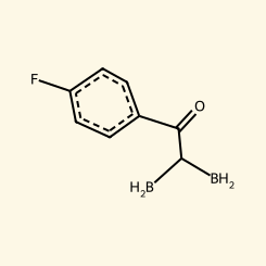 BC(B)C(=O)c1ccc(F)cc1